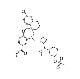 COC(=O)c1ccc2c(c1)N(C[C@@H]1CC[C@H]1[C@@H](OC)[C@H]1CCC[C@H](OS(C)(=O)=O)C1)CC1(CCCc3cc(Cl)ccc31)CO2